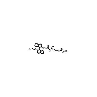 C=C[C@H](CCCCNC(=O)OC(C)(C)C)C(=O)NCCOc1ccc2ccccc2c1-c1c(OCCC(C)C)ccc2ccccc12